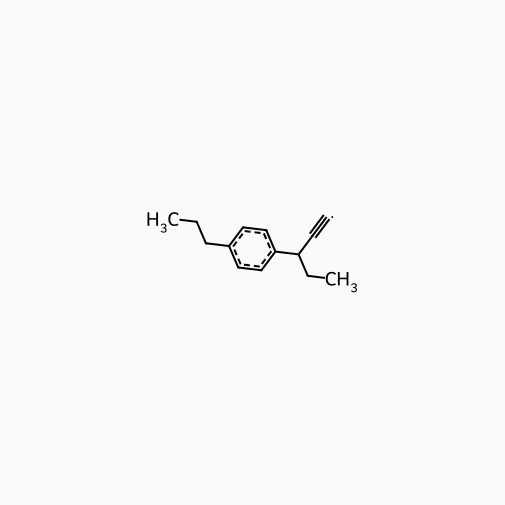 [C]#CC(CC)c1ccc(CCC)cc1